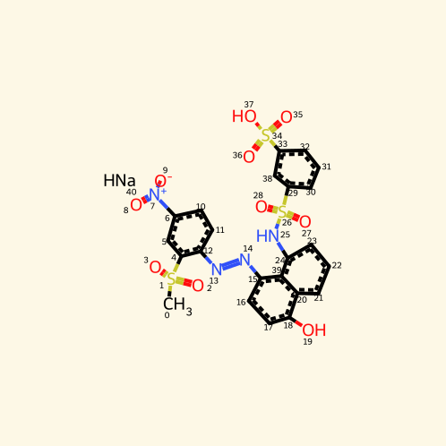 CS(=O)(=O)c1cc([N+](=O)[O-])ccc1N=Nc1ccc(O)c2cccc(NS(=O)(=O)c3cccc(S(=O)(=O)O)c3)c12.[NaH]